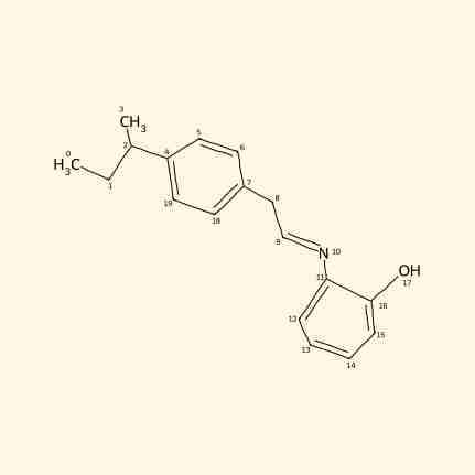 CCC(C)c1ccc(CC=Nc2ccccc2O)cc1